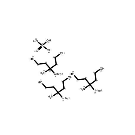 CCCCCCCC(N)(CCO)CCO.CCCCCCCC(N)(CCO)CCO.CCCCCCCC(N)(CCO)CCO.O=P(O)(O)O